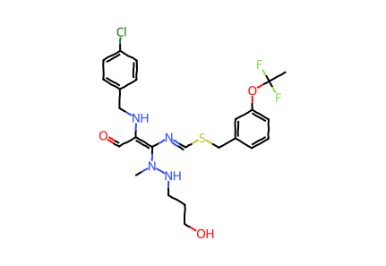 CN(NCCCO)C(/N=C/SCc1cccc(OC(C)(F)F)c1)=C(\C=O)NCc1ccc(Cl)cc1